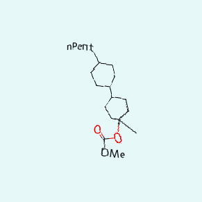 CCCCCC1CCC(C2CCC(C)(OC(=O)OC)CC2)CC1